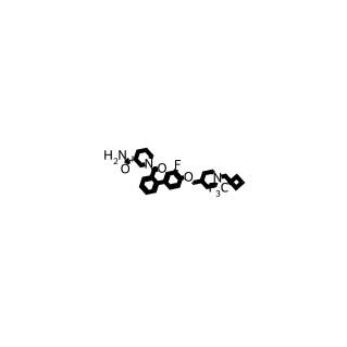 NC(=O)[C@@H]1CCCN(C(=O)c2ccccc2-c2ccc(OCC3CCN(CC4(C(F)(F)F)CCC4)CC3)c(F)c2)C1